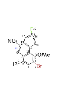 COc1c(Br)cc(C(C)C)c(/C=C/C#N)c1-c1ccc(F)cc1